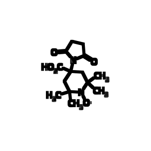 CC1(C)CC(C(=O)O)(N2C(=O)CCC2=O)CC(C)(C)N1[O]